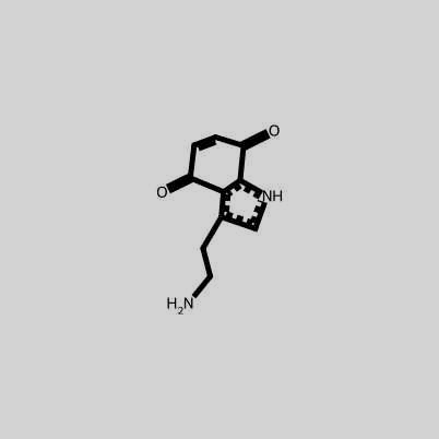 NCCc1c[nH]c2c1C(=O)C=CC2=O